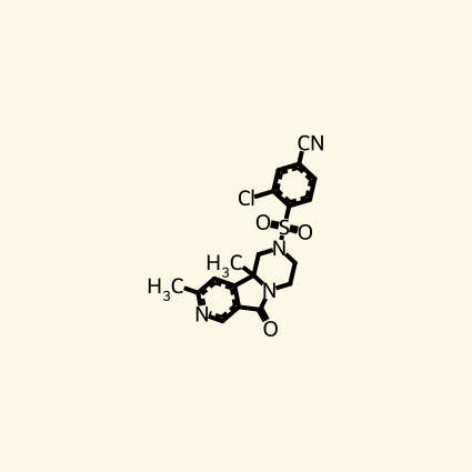 Cc1cc2c(cn1)C(=O)N1CCN(S(=O)(=O)c3ccc(C#N)cc3Cl)CC21C